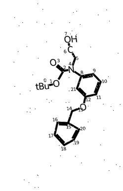 CC(C)(C)OC(=O)N(CCO)c1cccc(OCc2ccccc2)c1